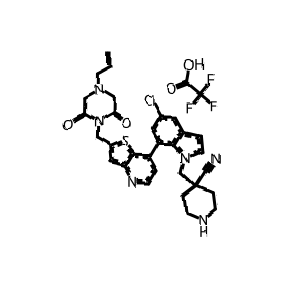 C=CCN1CC(=O)N(Cc2cc3nccc(-c4cc(Cl)cc5ccn(CC6(C#N)CCNCC6)c45)c3s2)C(=O)C1.O=C(O)C(F)(F)F